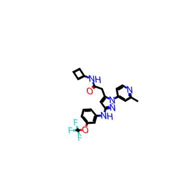 Cc1cc(-n2nc(Nc3cccc(OC(F)(F)F)c3)cc2CC(=O)NC2CCC2)ccn1